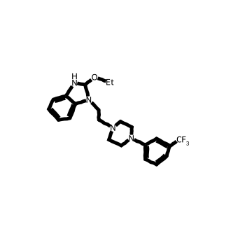 CCOC1Nc2ccccc2N1CCN1CCN(c2cccc(C(F)(F)F)c2)CC1